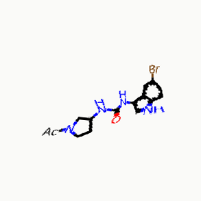 CC(=O)N1CCC(NC(=O)Nc2c[nH]c3ccc(Br)cc23)C1